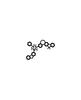 CC1(C)c2ccccc2-c2cc3c(cc21)-c1ccc(-c2nc(-c4ccccc4)nc(-c4ccc5c(c4)-c4ccccc4C5)n2)cc1CCC3